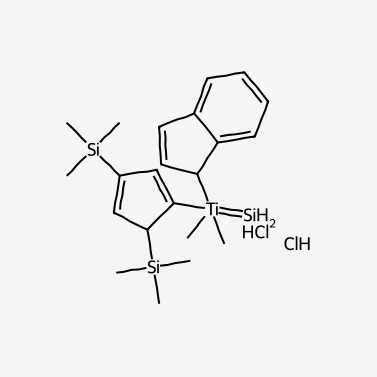 C[Si](C)(C)C1=CC([Si](C)(C)C)[C]([Ti]([CH3])([CH3])(=[SiH2])[CH]2C=Cc3ccccc32)=C1.Cl.Cl